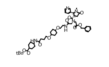 CN1C(=O)C[C@H](C(=O)N(CC(=O)NCCOC2CCC(OCCCC(=O)NC3CCC(C(=O)OC(C)(C)C)CC3)CC2)CC(=O)OCc2ccccc2)[C@H]1c1cccnc1